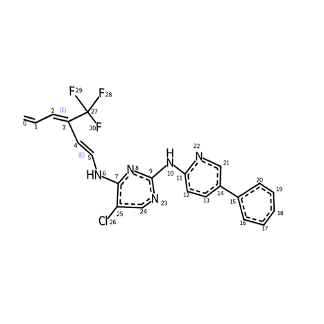 C=C/C=C(\C=C\Nc1nc(Nc2ccc(-c3ccccc3)cn2)ncc1Cl)C(F)(F)F